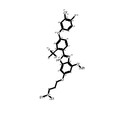 [CH2]CCOc1cc(OCCCN(CC)CC)cc2[nH]c(-c3ccc(Oc4ccc(F)c(C(F)(F)F)c4)cc3C(C)(F)F)nc12